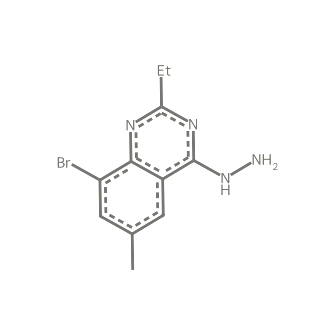 CCc1nc(NN)c2cc(C)cc(Br)c2n1